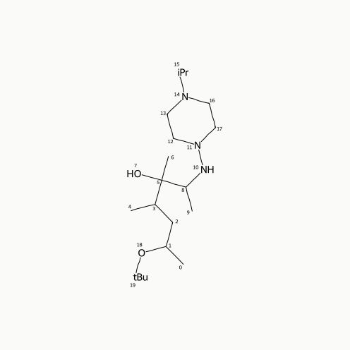 CC(CC(C)C(C)(O)C(C)NN1CCN(C(C)C)CC1)OC(C)(C)C